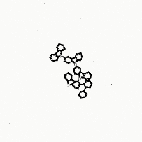 c1ccc(-c2ccccc2-c2ccc3sc4ccccc4c3c2-n2c3ccccc3c3cc(-n4c5ccccc5c5cc(-n6c7ccccc7c7ccccc76)ccc54)ccc32)cc1